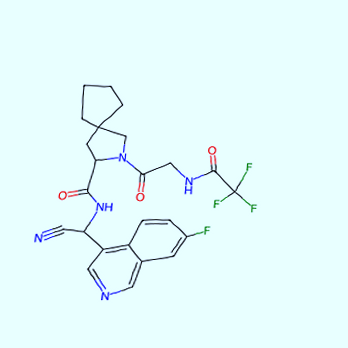 N#CC(NC(=O)C1CC2(CCCC2)CN1C(=O)CNC(=O)C(F)(F)F)c1cncc2cc(F)ccc12